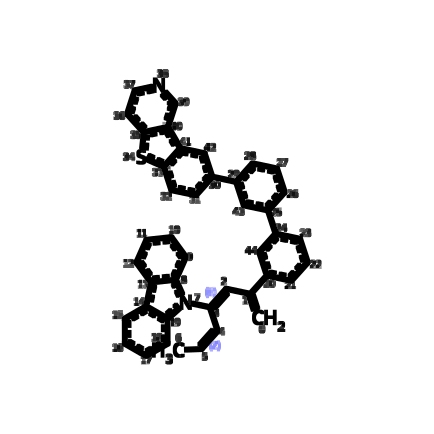 C=C(/C=C(\C=C/C)n1c2ccccc2c2ccccc21)c1cccc(-c2cccc(-c3ccc4sc5ccncc5c4c3)c2)c1